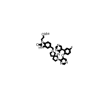 COCCn1c(=O)[nH]c2cc(CN3CCC4(CCN(c5ncncc5Oc5ccc(F)cc5-c5cncnc5C(C)C)C4)C3)ccc21